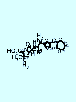 CC1(C)S[C@H]2N(C(=O)C2(C#N)NC(=O)C(N)c2cc(OC3CCCCCC3)cs2)[C@H]1C(=O)O